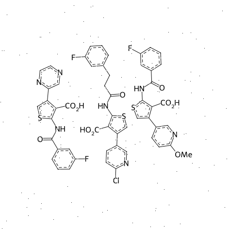 COc1ccc(-c2csc(NC(=O)c3cccc(F)c3)c2C(=O)O)cn1.O=C(CCc1cccc(F)c1)Nc1scc(-c2ccc(Cl)nc2)c1C(=O)O.O=C(Nc1scc(-c2cnccn2)c1C(=O)O)c1cccc(F)c1